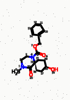 BN1CCN(C(=O)OCc2ccccc2)[C@]2(CC[C@H](O)CC2)C1=O